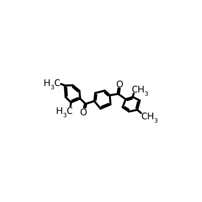 Cc1ccc(C(=O)c2ccc(C(=O)c3ccc(C)cc3C)cc2)c(C)c1